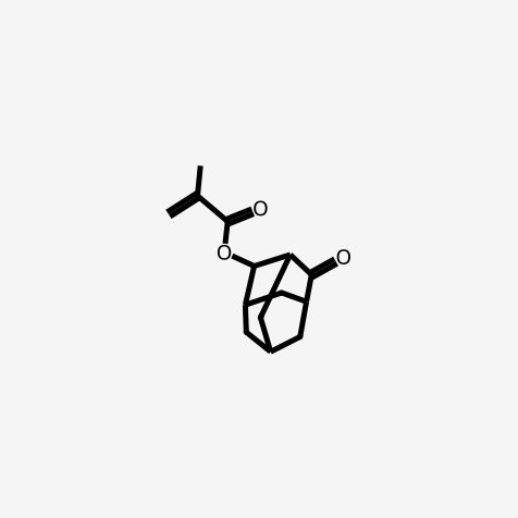 C=C(C)C(=O)OC1C2CC3CC(C2)C(=O)C1C3